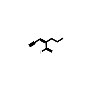 C#C/C=C(/CCC)C(=C)F